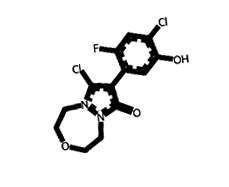 O=c1c(-c2cc(O)c(Cl)cc2F)c(Cl)n2n1CCOCC2